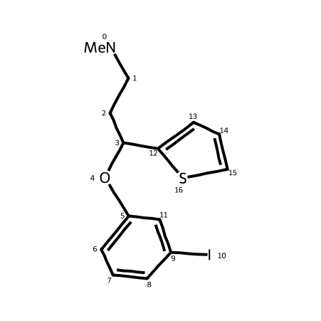 CNCCC(Oc1cccc(I)c1)c1cccs1